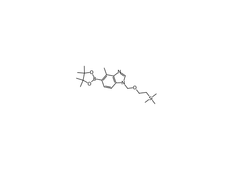 Cc1c(B2OC(C)(C)C(C)(C)O2)ccc2c1ncn2COCC[Si](C)(C)C